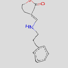 O=C1OCCC1=CNCCc1ccccc1